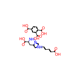 C/C=C/C=C/C(=O)O.NC(Cc1c[nH]cn1)C(=O)O.O=C(O)c1ccc(C(=O)O)c(C(=O)O)c1